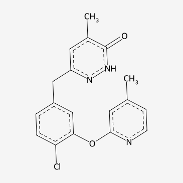 Cc1ccnc(Oc2cc(Cc3cc(C)c(=O)[nH]n3)ccc2Cl)c1